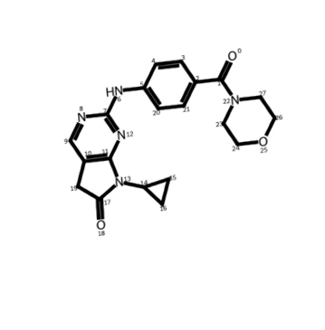 O=C(c1ccc(Nc2ncc3c(n2)N(C2CC2)C(=O)C3)cc1)N1CCOCC1